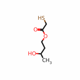 CC(O)CCOC(=O)CS